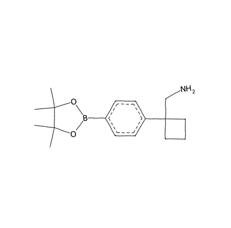 CC1(C)OB(c2ccc(C3(CN)CCC3)cc2)OC1(C)C